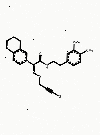 COc1ccc(CCNC(=O)C(=COCC#CCl)c2ccc3c(c2)CCCC3)cc1OC